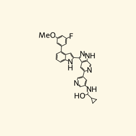 COc1cc(F)cc(-c2cccc3[nH]c(-c4n[nH]c5cnc(-c6cncc(NC(O)C7CC7)c6)cc45)cc23)c1